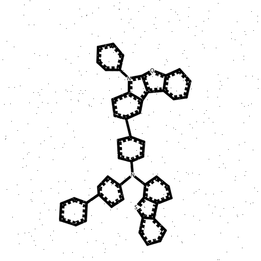 c1ccc(-c2ccc(N(c3ccc(-c4ccc5c(c4)c4c6ccccc6oc4n5-c4ccccc4)cc3)c3cccc4c3sc3ccccc34)cc2)cc1